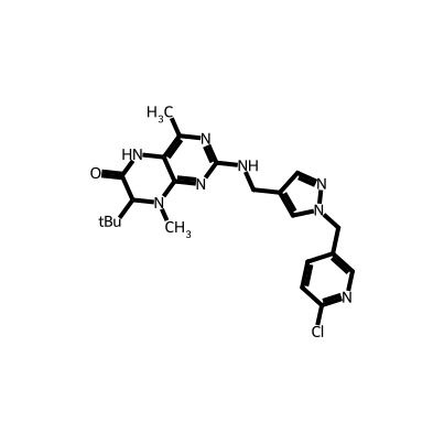 Cc1nc(NCc2cnn(Cc3ccc(Cl)nc3)c2)nc2c1NC(=O)C(C(C)(C)C)N2C